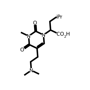 CC(C)CC(C(=O)O)n1cc(CCN(C)C)c(=O)n(C)c1=O